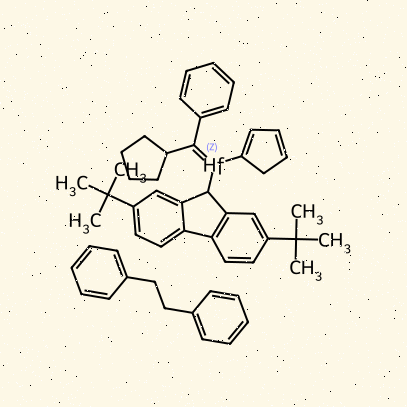 CC(C)(C)c1ccc2c(c1)[CH](/[Hf]([C]1=CC=CC1)=[C](/c1ccccc1)C1CCCC1)c1cc(C(C)(C)C)ccc1-2.c1ccc(CCc2ccccc2)cc1